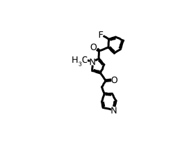 Cn1cc(C(=O)Cc2ccncc2)cc1C(=O)c1ccccc1F